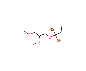 CCC(S)(S)OCC(COC)OC